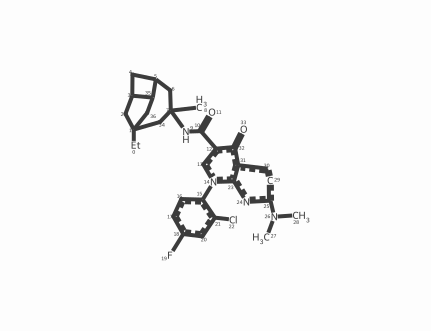 CCC12CC3CC(CC(C)(NC(=O)c4cn(-c5ccc(F)cc5Cl)c5nc(N(C)C)ccc5c4=O)C1)C3C2